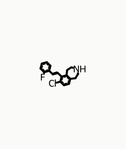 Fc1ccccc1C=Cc1c(Cl)ccc2c1CCNCC2